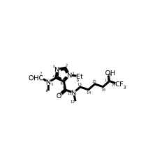 CCn1cnc(N(C)C=O)c1C(=O)N(C)CCCCC(O)C(F)(F)F